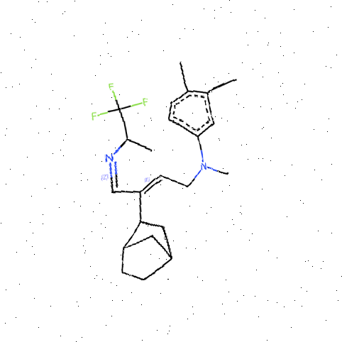 Cc1ccc(N(C)C/C=C(/C=N\C(C)C(F)(F)F)C2CC3CCC2C3)cc1C